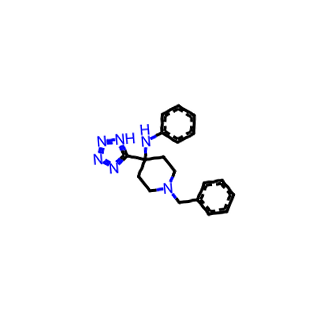 c1ccc(CN2CCC(Nc3ccccc3)(c3nnn[nH]3)CC2)cc1